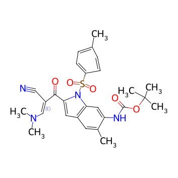 Cc1ccc(S(=O)(=O)n2c(C(=O)/C(C#N)=C/N(C)C)cc3cc(C)c(NC(=O)OC(C)(C)C)cc32)cc1